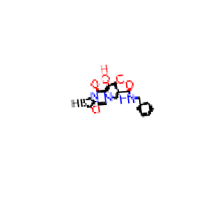 O=C(NCc1ccccc1)c1cn2c(c(O)c1=O)C(=O)N1C3BC(C3)OC1C2